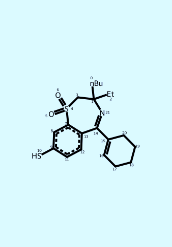 CCCCC1(CC)CS(=O)(=O)c2cc(S)ccc2C(C2=CCCCC2)=N1